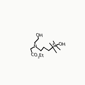 CCOC(=O)CN(CCO)CCCC(C)(C)[Si](C)(C)O